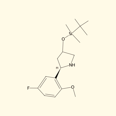 COc1ccc(F)cc1[C@H]1CC(O[Si](C)(C)C(C)(C)C)CN1